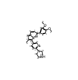 COc1ccc(-c2ccc3nc(C)c(-c4ccc(N5CCNCC5)nc4)n3n2)cc1OC